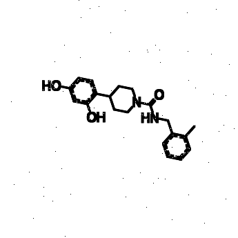 Cc1ccccc1CNC(=O)N1CCC(c2ccc(O)cc2O)CC1